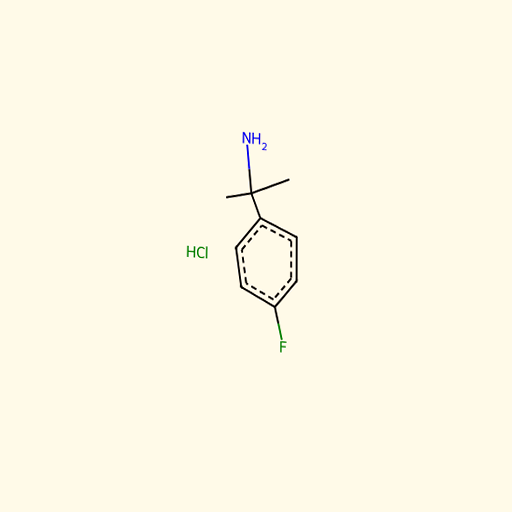 CC(C)(N)c1ccc(F)cc1.Cl